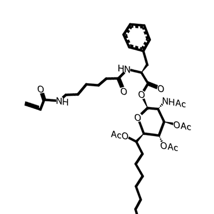 C=CC(=O)NCCCCCC(=O)N[C@@H](Cc1ccccc1)C(=O)O[C@@H]1O[C@H](C(CCCCCCN)OC(C)=O)[C@@H](OC(C)=O)[C@H](OC(C)=O)[C@H]1NC(C)=O